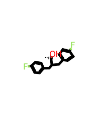 C[C@H](O)C(Cc1ccc(F)cc1)Cc1ccc(F)cc1